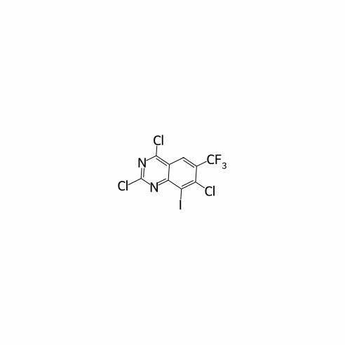 FC(F)(F)c1cc2c(Cl)nc(Cl)nc2c(I)c1Cl